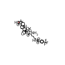 CC(=O)O[C@@H]1C[C@@]23COC[C@](C)([C@@H]2CC[C@H]2C3=CC[C@@]3(C)[C@H](C(=O)O)[C@@](C)([C@H](C)C(C)C)CC[C@]23C)[C@H]1OC(=O)C(N)CCCCNS(=O)(=O)c1ccc(C(F)(F)F)cc1